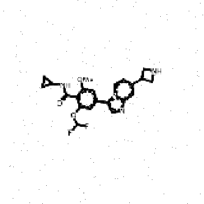 COc1cc(-c2cnc3cc(C4CNC4)ccn23)cc(OC(F)F)c1C(=O)NC1CC1